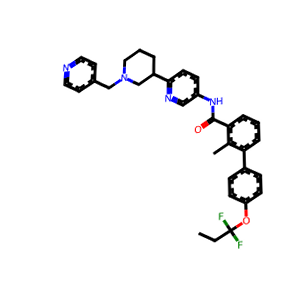 CCC(F)(F)Oc1ccc(-c2cccc(C(=O)Nc3ccc(C4CCCN(Cc5ccncc5)C4)nc3)c2C)cc1